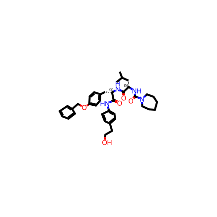 CC(C)C[C@H](NC(=O)N1CCCCCC1)C(=O)N[C@@H](Cc1ccc(OCc2ccccc2)cc1)C(=O)Nc1ccc(CCO)cc1